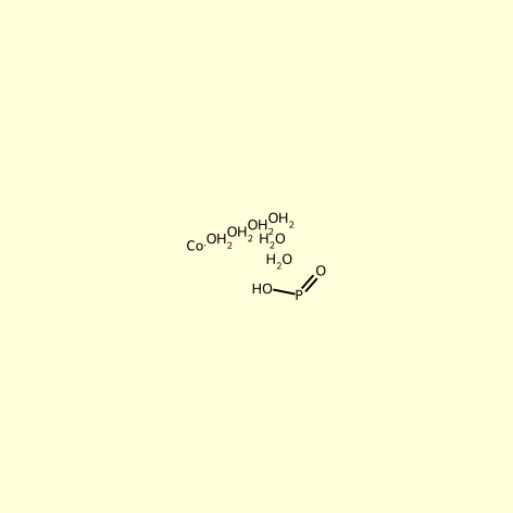 O.O.O.O.O.O.O=PO.[Co]